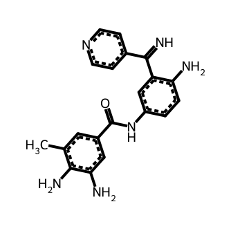 Cc1cc(C(=O)Nc2ccc(N)c(C(=N)c3ccncc3)c2)cc(N)c1N